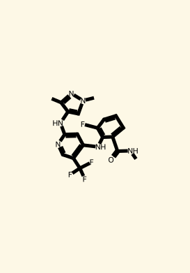 CNC(=O)c1cccc(F)c1Nc1cc(Nc2cn(C)nc2C)ncc1C(F)(F)F